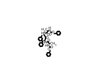 C[C@H](NC(=O)OCc1ccccc1)C(=O)N[C@@H](Cc1ccccc1)[C@@H]1O[C@@H]1[C@H](Cc1ccccc1)NC(=O)[C@H](C)NC(=O)OCc1ccccc1